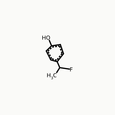 CC(F)c1ccc(O)cc1